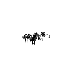 CS(=O)(=O)NCc1cc(F)cc(-c2cccc3[nH]c(-c4n[nH]c5ncc(-c6cncc(NC(=O)C7CC7)c6)cc45)nc23)c1